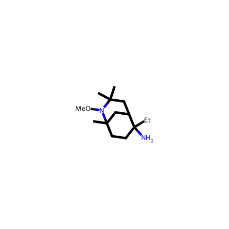 CCC1(N)CCC2(C)CC1CC(C)(C)N2OC